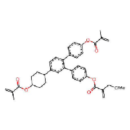 C=C(C)C(=O)Oc1ccc(-c2ccc(C3CCC(OC(=O)C(=C)C)CC3)cc2-c2ccc(OC(=O)C(=C)COC)cc2)cc1